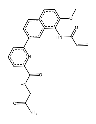 C=CC(=O)Nc1c(OC)ccc2ccc(-c3cccc(C(=O)NCC(N)=O)n3)cc12